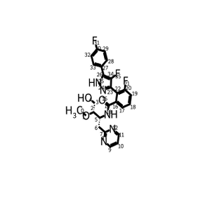 CO[C@H](CO)[C@@H](Cc1ncccn1)NC(=O)c1cccc(F)c1-c1n[nH]c(-c2ccc(F)cc2)c1F